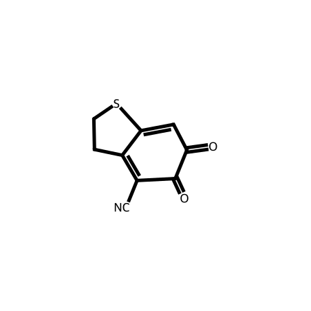 N#CC1=C2CCSC2=CC(=O)C1=O